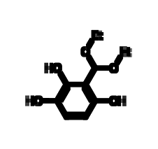 CCOC(OCC)c1c(O)ccc(O)c1O